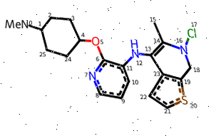 CNC1CCC(Oc2ncccc2NC2=C(C)N(Cl)Cc3sccc32)CC1